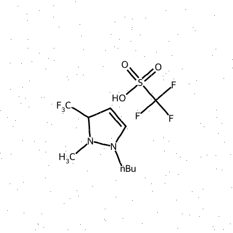 CCCCN1C=CC(C(F)(F)F)N1C.O=S(=O)(O)C(F)(F)F